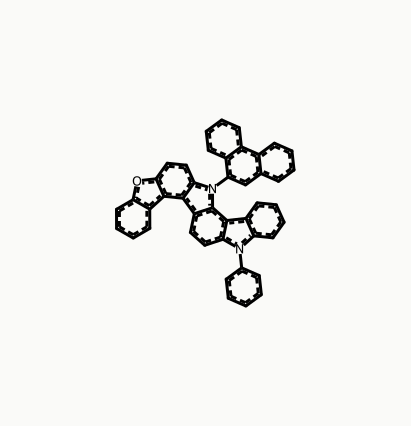 c1ccc(-n2c3ccccc3c3c2ccc2c4c5c(ccc4n(-c4cc6ccccc6c6ccccc46)c23)oc2ccccc25)cc1